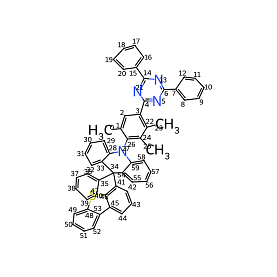 Cc1cc(-c2nc(-c3ccccc3)nc(-c3ccccc3)n2)c(C)c(C)c1N1c2ccccc2C(c2ccccc2)(c2cccc3c2sc2ccccc23)c2ccccc21